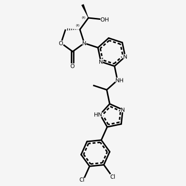 CC(Nc1nccc(N2C(=O)OC[C@@H]2[C@@H](C)O)n1)c1ncc(-c2ccc(Cl)c(Cl)c2)[nH]1